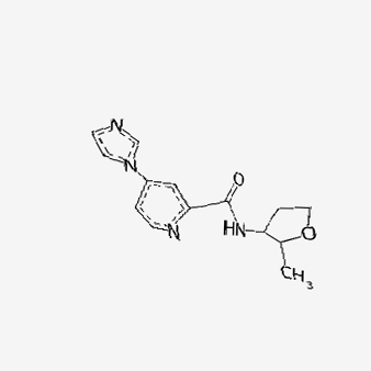 CC1OCCC1NC(=O)c1cc(-n2ccnc2)ccn1